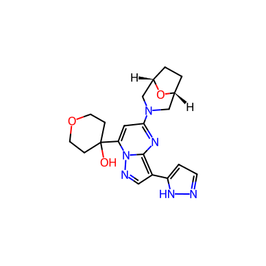 OC1(c2cc(N3C[C@H]4CC[C@@H](C3)O4)nc3c(-c4ccn[nH]4)cnn23)CCOCC1